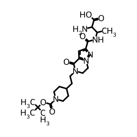 CC(NC(=O)c1cc2n(n1)CCN(CCC1CCN(C(=O)OC(C)(C)C)CC1)C2=O)C(N)C(=O)O